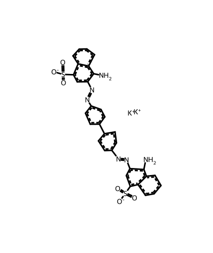 Nc1c(N=Nc2ccc(-c3ccc(N=Nc4cc(S(=O)(=O)[O-])c5ccccc5c4N)cc3)cc2)cc(S(=O)(=O)[O-])c2ccccc12.[K+].[K+]